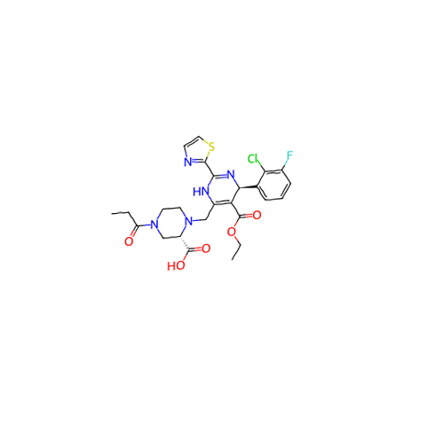 CCOC(=O)C1=C(CN2CCN(C(=O)CC)C[C@H]2C(=O)O)NC(c2nccs2)=N[C@H]1c1cccc(F)c1Cl